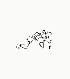 N#CCC1(n2cc(C(N)=O)c(NC(=O)C3CC3F)n2)CCN(CC(F)(F)F)CC1